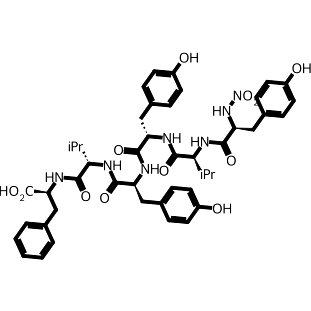 CC(C)[C@H](NC(=O)[C@H](Cc1ccc(O)cc1)NC(=O)[C@H](Cc1ccc(O)cc1)NC(=O)[C@@H](NC(=O)[C@H](Cc1ccc(O)cc1)N[N+](=O)[O-])C(C)C)C(=O)N[C@@H](Cc1ccccc1)C(=O)O